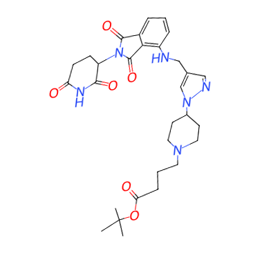 CC(C)(C)OC(=O)CCCN1CCC(n2cc(CNc3cccc4c3C(=O)N(C3CCC(=O)NC3=O)C4=O)cn2)CC1